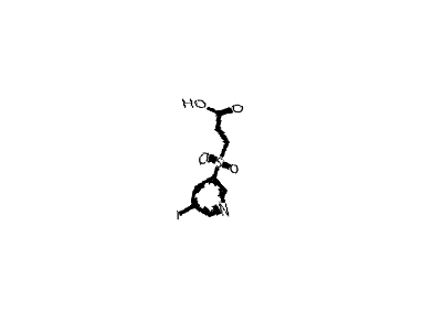 O=C(O)CCS(=O)(=O)c1cncc(I)c1